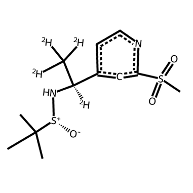 [2H]C([2H])([2H])[C@]([2H])(N[S@+]([O-])C(C)(C)C)c1ccnc(S(C)(=O)=O)c1